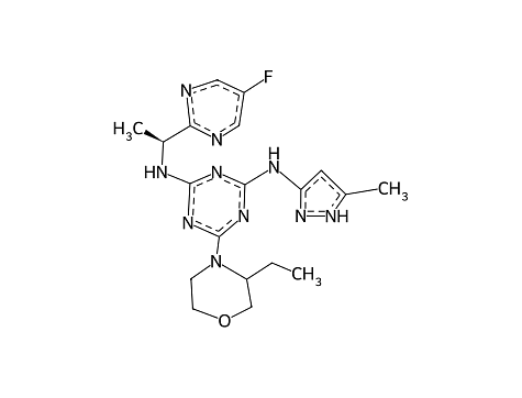 CCC1COCCN1c1nc(Nc2cc(C)[nH]n2)nc(N[C@@H](C)c2ncc(F)cn2)n1